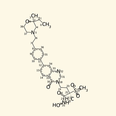 CCC1(C)CN(CCc2ccc(-c3ccc4c(=O)n(CC[C@](C)(C(=O)NO)S(C)(=O)=O)cnc4c3)cc2)CCO1